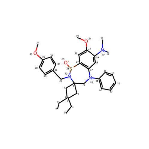 CCCCC1(CCCC)CN(c2ccccc2)c2cc(N(C)C)c(OC)cc2[S+]([O-])N1Cc1ccc(OC)cc1